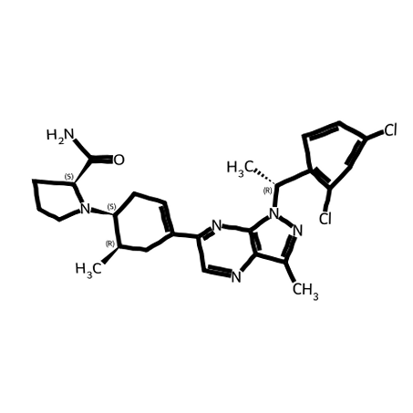 Cc1nn([C@H](C)c2ccc(Cl)cc2Cl)c2nc(C3=CC[C@H](N4CCC[C@H]4C(N)=O)[C@H](C)C3)cnc12